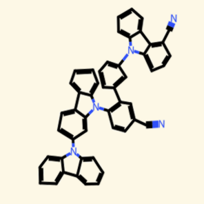 N#Cc1ccc(-n2c3ccccc3c3ccc(-n4c5ccccc5c5ccccc54)cc32)c(-c2cccc(-n3c4ccccc4c4c(C#N)cccc43)c2)c1